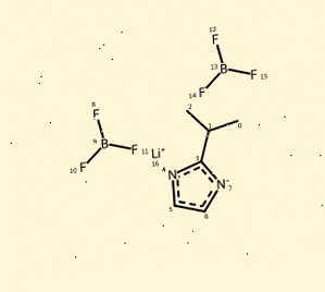 CC(C)c1ncc[n-]1.FB(F)F.FB(F)F.[Li+]